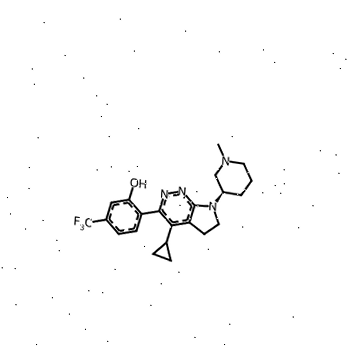 CN1CCC[C@@H](N2CCc3c2nnc(-c2ccc(C(F)(F)F)cc2O)c3C2CC2)C1